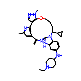 C=C1/N=C2\Nc3cc(NC4CCN(CC)CC4)ccc3N2C(C2CC2)CCCOc2c(cnn2C)-c2cc1cc(C)n2